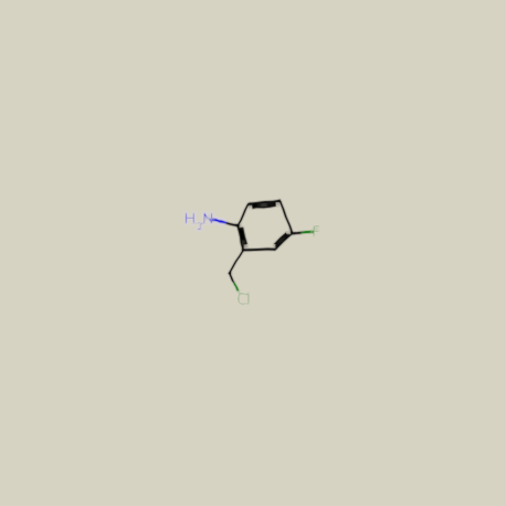 Nc1ccc(F)cc1CCl